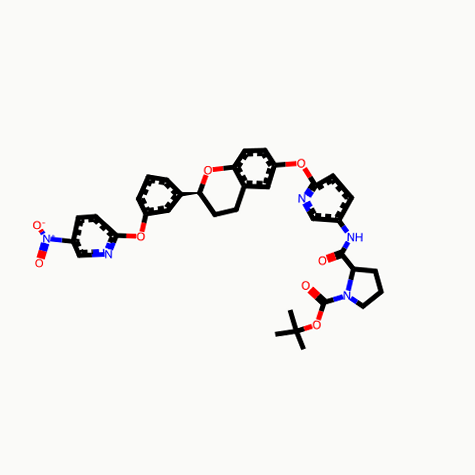 CC(C)(C)OC(=O)N1CCCC1C(=O)Nc1ccc(Oc2ccc3c(c2)CC[C@@H](c2cccc(Oc4ccc([N+](=O)[O-])cn4)c2)O3)nc1